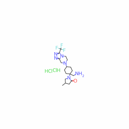 CC1CC(=O)N(C2(CN)CCC(N3CCn4c(nnc4C(F)(F)F)C3)CC2)C1.Cl.Cl